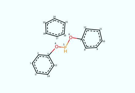 c1ccc(OPOc2ccccc2)cc1.c1ccccc1